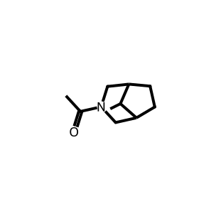 CC(=O)N1CC2CCC(C1)C2C